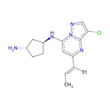 C/C=C(\CC)c1cc(N[C@H]2CC[C@H](N)C2)n2ncc(Cl)c2n1